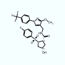 COc1nn(-c2ccc(C(F)(F)F)cc2)cc1CNC(=O)[C@@H]1C[C@H](O)CN1S(=O)(=O)c1ccc(F)cc1